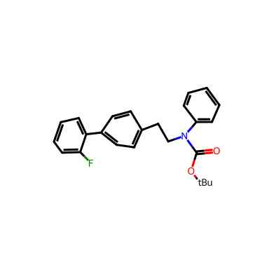 CC(C)(C)OC(=O)N(CCc1ccc(-c2ccccc2F)cc1)c1ccccc1